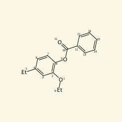 CCOc1cc(CC)ccc1OC(=O)c1ccccc1